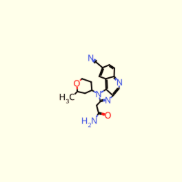 CC1CC(n2c(CC(N)=O)nc3cnc4ccc(C#N)cc4c32)CCO1